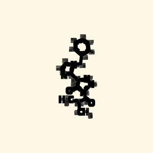 CN(C)C(=O)n1nnn(-c2nccn2Cc2ccccc2)c1=O